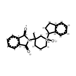 CC1(N2C(=O)c3ccccc3C2=O)CCC[N+]([O-])(C2CCc3ccccc32)C1